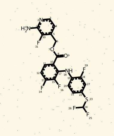 Nc1nccc(COC(=O)c2ccc(F)c(F)c2Nc2ccc(SC(F)F)cc2F)c1F